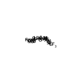 C[C@H](NCC#CS(=O)(=O)c1cc2cc(F)ccc2o1)C(=O)NCc1cc(-c2ccc(C(F)(F)F)cn2)ccn1